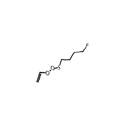 C=COOSCCCCF